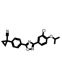 CC(C)Oc1ccc(-c2noc(-c3ccc(C4(C#N)CC4)cc3)n2)cc1Cl